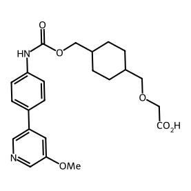 COc1cncc(-c2ccc(NC(=O)OCC3CCC(COCC(=O)O)CC3)cc2)c1